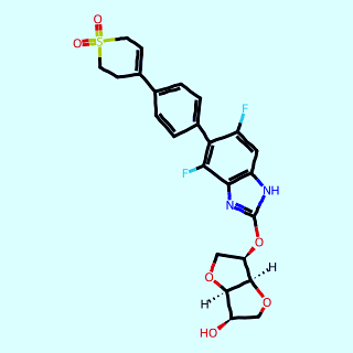 O=S1(=O)CC=C(c2ccc(-c3c(F)cc4[nH]c(O[C@@H]5CO[C@H]6[C@@H]5OC[C@H]6O)nc4c3F)cc2)CC1